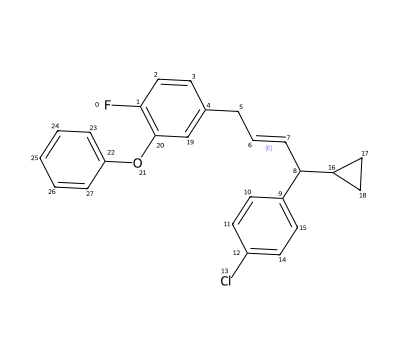 Fc1ccc(C/C=C/C(c2ccc(Cl)cc2)C2CC2)cc1Oc1ccccc1